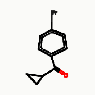 CC(C)c1ccc(C(=O)C2CC2)cc1